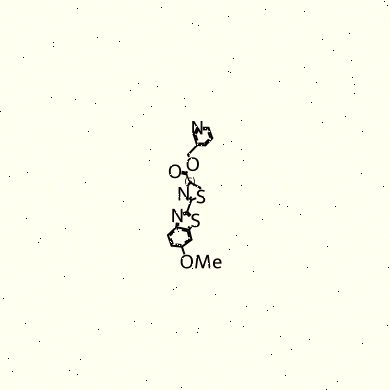 COc1ccc2nc(C3=N[C@@H](C(=O)OCc4cccnc4)CS3)sc2c1